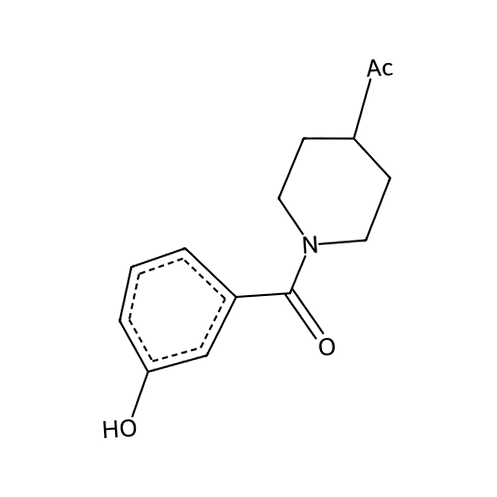 CC(=O)C1CCN(C(=O)c2cccc(O)c2)CC1